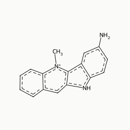 C[n+]1c2ccccc2cc2[nH]c3ccc(N)cc3c21